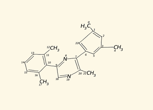 Cc1cc(C)cc(-c2nc(-c3c(C)cccc3C)cnc2C)c1